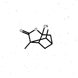 CC1C2CC3C(C#N)(C2)OC(=O)C13C